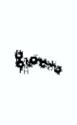 Cn1c(Nc2cc(-c3ccncc3)ccc2F)nc2cc(Oc3ccnc(NC(=O)CN4CCCC4)c3)ccc21